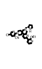 CCOc1ncccc1-c1ccc2c(n1)CN(C[C@H]1CCCN1)CC21CCN(c2ncc(Cl)cc2C#N)CC1